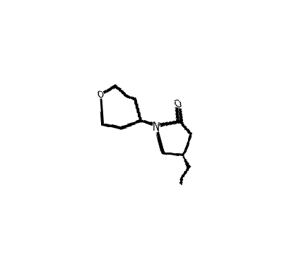 CC[C@@H]1CC(=O)N(C2CCOCC2)C1